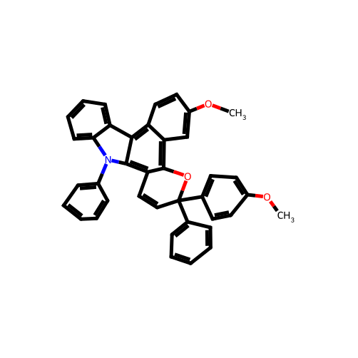 COc1ccc(C2(c3ccccc3)C=Cc3c(c4cc(OC)ccc4c4c5ccccc5n(-c5ccccc5)c34)O2)cc1